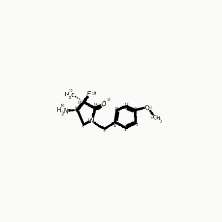 COc1ccc(CN2C[C@@H](N)[C@@](C)(F)C2=O)cc1